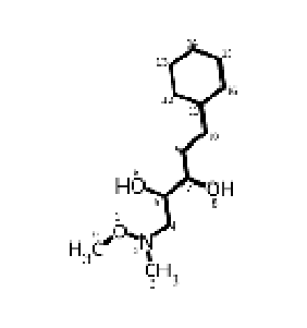 CON(C)CC(O)C(O)CCC1CCCCC1